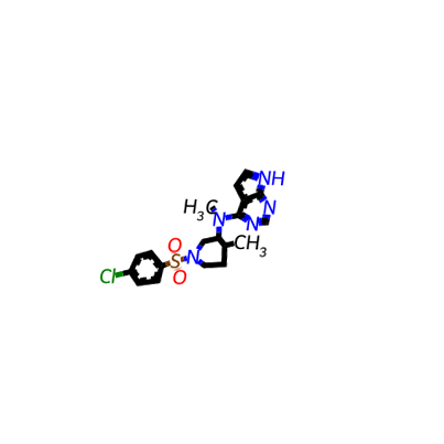 CC1CCN(S(=O)(=O)c2ccc(Cl)cc2)CC1N(C)c1ncnc2[nH]ccc12